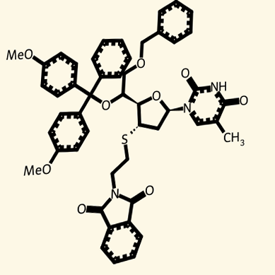 COc1ccc(C(OC(COCc2ccccc2)[C@H]2O[C@@H](n3cc(C)c(=O)[nH]c3=O)C[C@@H]2SCCN2C(=O)c3ccccc3C2=O)(c2ccccc2)c2ccc(OC)cc2)cc1